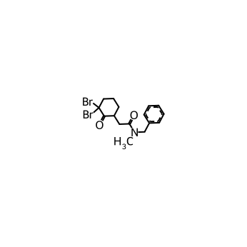 CN(Cc1ccccc1)C(=O)CC1CCCC(Br)(Br)C1=O